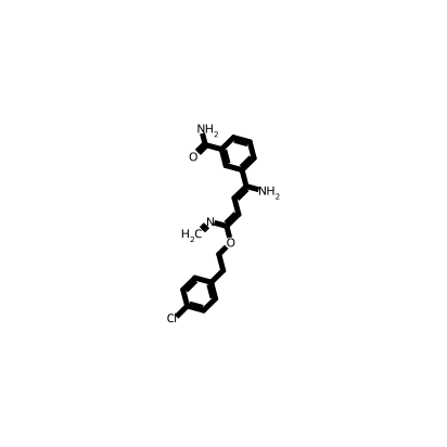 C=N/C(=C\C=C(/N)c1cccc(C(N)=O)c1)OCCc1ccc(Cl)cc1